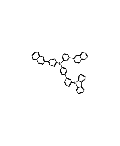 c1cc(-c2ccc3ccccc3c2)cc(N(c2ccc(-c3cccc(-n4c5ccccc5c5ccccc54)c3)cc2)c2ccc(-c3ccc4ccccc4c3)cc2)c1